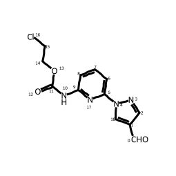 O=Cc1cnn(-c2cccc(NC(=O)OCCCl)n2)c1